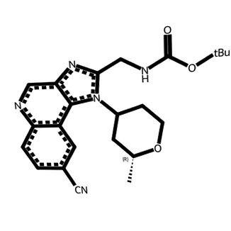 C[C@@H]1CC(n2c(CNC(=O)OC(C)(C)C)nc3cnc4ccc(C#N)cc4c32)CCO1